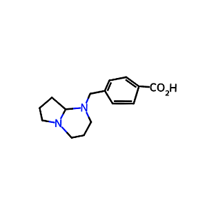 O=C(O)c1ccc(CN2CCCN3CCCC32)cc1